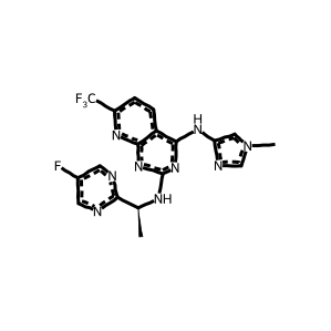 C[C@H](Nc1nc(Nc2cn(C)cn2)c2ccc(C(F)(F)F)nc2n1)c1ncc(F)cn1